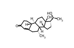 C[C@H](O)[C@@H]1CC[C@@H]2[C@H]3[C@H](CC[C@@]21C)[C@H]1CCC(=O)C=C1C[C@H]3C